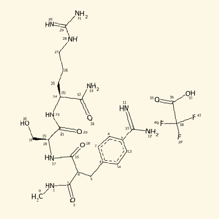 CNC(=O)C(Cc1ccc(C(=N)N)cc1)C(=O)N[C@@H](CO)C(=O)N[C@@H](CCCNC(=N)N)C(N)=O.O=C(O)C(F)(F)F